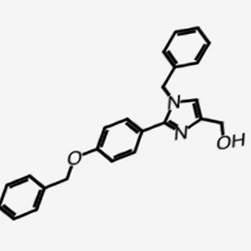 OCc1cn(Cc2ccccc2)c(-c2ccc(OCc3ccccc3)cc2)n1